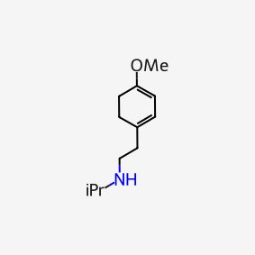 COC1=CC=C(CCNC(C)C)CC1